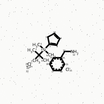 CC(C)(C)[Si](C)(C)C1=CC=CC1.NCc1ccccc1.[Cl-].[Cl-].[Ti+2]